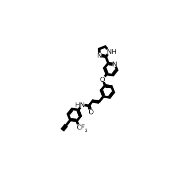 C#Cc1ccc(NC(=O)C=Cc2cccc(Oc3ccnc(C4=NCCN4)c3)c2)cc1C(F)(F)F